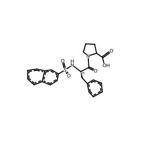 O=C(O)C1CCCN1C(=O)[C@@H](Cc1ccccc1)NS(=O)(=O)c1ccc2ccccc2c1